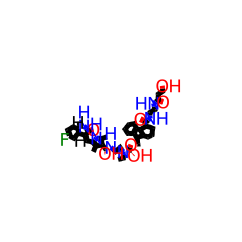 CCN(CCN[C@H](O)C1C(C)=C(/C=C2\C(=O)N[C@H]3CC=C(F)C[C@@H]23)NC1C)[C@@H](O)OCC1C2=C(CCCC2)C2C1CCC[C@@H]2C(=O)NCCNC(=O)CCO